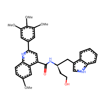 COc1ccc2nc(-c3cc(OC)c(OC)c(OC)c3)cc(C(=O)N[C@H](CCO)Cc3c[nH]c4ccccc34)c2c1